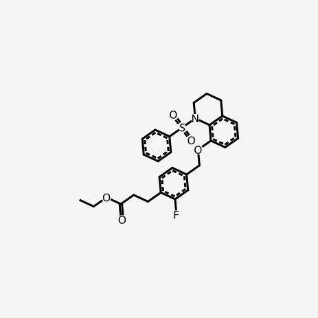 CCOC(=O)CCc1ccc(COc2cccc3c2N(S(=O)(=O)c2ccccc2)CCC3)cc1F